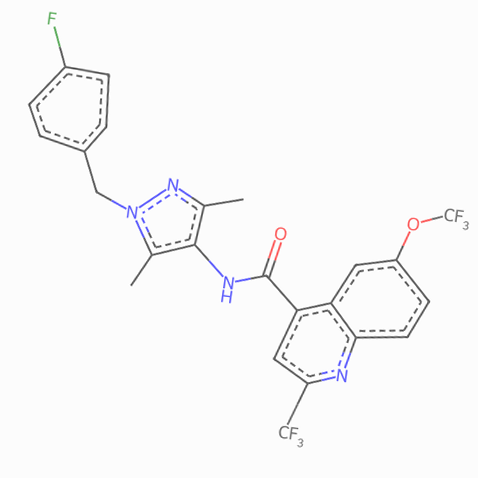 Cc1nn(Cc2ccc(F)cc2)c(C)c1NC(=O)c1cc(C(F)(F)F)nc2ccc(OC(F)(F)F)cc12